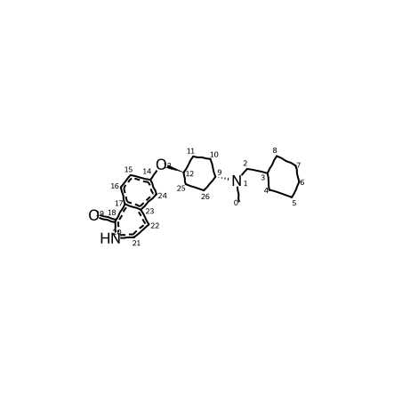 CN(CC1CCCCC1)[C@H]1CC[C@H](Oc2ccc3c(=O)[nH]ccc3c2)CC1